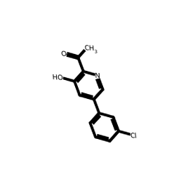 CC(=O)c1ncc(-c2cccc(Cl)c2)cc1O